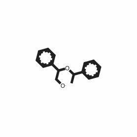 CC(OC(C[O])c1ccccc1)c1ccccc1